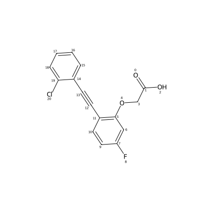 O=C(O)COc1cc(F)ccc1C#Cc1ccccc1Cl